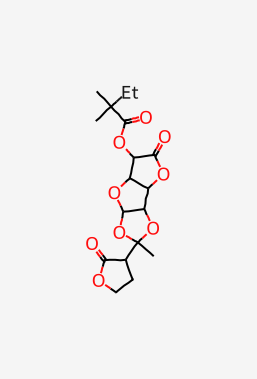 CCC(C)(C)C(=O)OC1C(=O)OC2C3OC(C)(C4CCOC4=O)OC3OC12